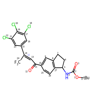 CC(C)(C)OC(=O)NC1CCc2cc(C(=O)/C=C(/c3cc(Cl)c(Cl)c(Cl)c3)C(F)(F)F)ccc21